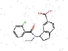 CCN(C(=O)c1ccccc1Cl)C1CCc2ccc(C(=O)O)cc21